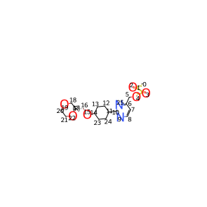 CS(=O)(=O)OCc1ccnc(C2CCC(OC[C@H]3COCCO3)CC2)n1